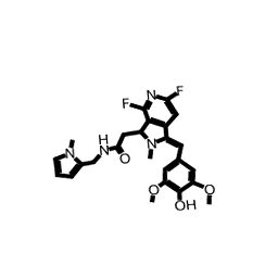 COc1cc(C=C2c3cc(F)nc(F)c3C(CC(=O)NCc3cccn3C)N2C)cc(OC)c1O